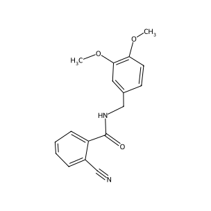 COc1ccc(CNC(=O)c2ccccc2C#N)cc1OC